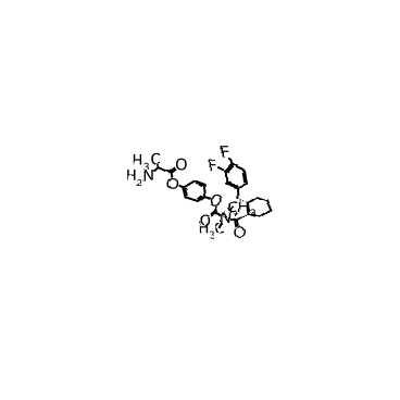 C[C@H](N)C(=O)Oc1ccc(OC(=O)[N+](C)(C)C(=O)[C@@H]2CCCC[C@H]2Cc2ccc(F)c(F)c2)cc1